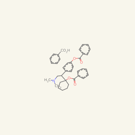 CN(C)CC(c1ccc(OC(=O)c2ccccc2)cc1)C1(OC(=O)c2ccccc2)CCCCC1.O=C(O)c1ccccc1